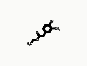 CCOC(=O)Cc1ccc(Br)c(C)c1